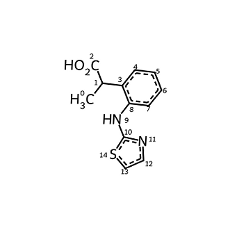 CC(C(=O)O)c1ccccc1Nc1nccs1